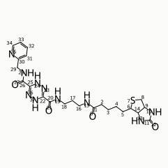 O=C(CCCCC1SCC2NC(=O)NC21)NCCCNC(=O)C1=NNC(C(=O)NCc2ccccn2)=NN1